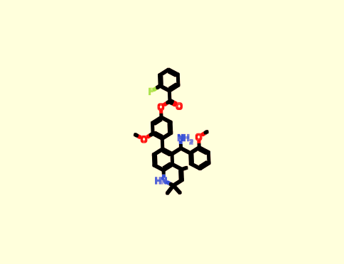 COc1cc(OC(=O)c2ccccc2F)ccc1-c1ccc2c(c1C(N)c1ccccc1OC)C(C)=CC(C)(C)N2